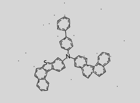 c1ccc(-c2ccc(N(c3ccc4c(ccc5ccc6ccccc6c54)c3)c3ccc4c(c3)sc3ccc5ccccc5c34)cc2)cc1